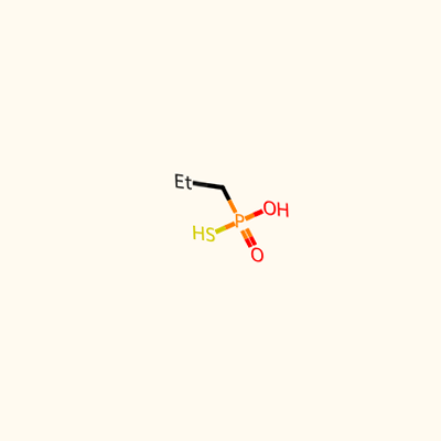 [CH2]CCP(=O)(O)S